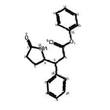 O=C1CCC(C(CC(=O)Oc2ccccc2)c2ccccc2)N1